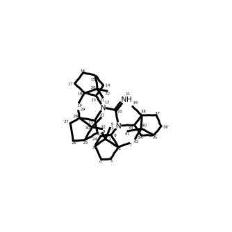 CC1(C)C2CCC1(C)C(N(C(=N)N(C1CC3CCC1(C)C3(C)C)C1CC3CCC1(C)C3(C)C)C1CC3CCC1(C)C3(C)C)C2